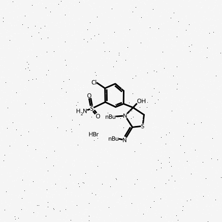 Br.CCCCN=C1SCC(O)(c2ccc(Cl)c(S(N)(=O)=O)c2)N1CCCC